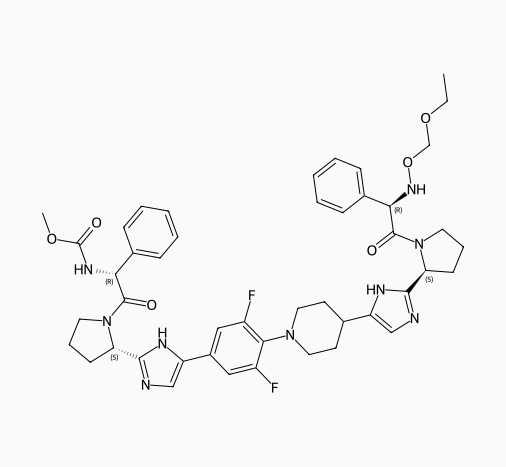 CCOCON[C@@H](C(=O)N1CCC[C@H]1c1ncc(C2CCN(c3c(F)cc(-c4cnc([C@@H]5CCCN5C(=O)[C@H](NC(=O)OC)c5ccccc5)[nH]4)cc3F)CC2)[nH]1)c1ccccc1